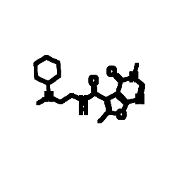 Cc1oc2ncn(C)c(=O)c2c1C(=O)NCCN(C)C1CCCCC1